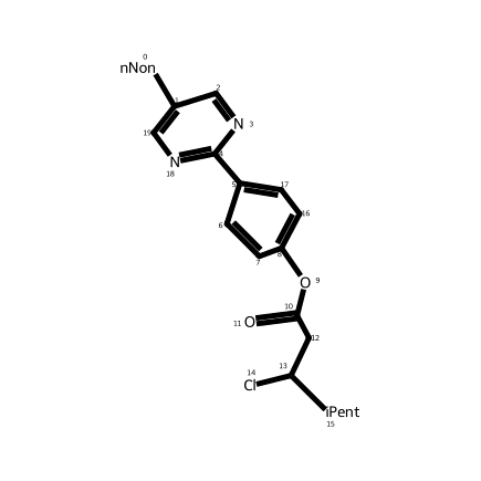 CCCCCCCCCc1cnc(-c2ccc(OC(=O)CC(Cl)C(C)CCC)cc2)nc1